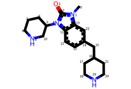 Cn1c(=O)n(C2CCCNC2)c2ccc(CC3CCNCC3)cc21